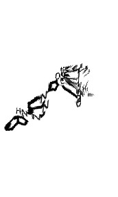 CC(C)(C)[Si](C)(C)OC1C[C@H](n2ccc3c(N[C@H]4CCc5ccccc54)ncnc32)C[C@H]1CCS(N)(=O)=O